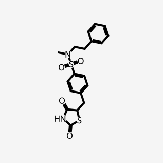 CN(CCc1ccccc1)S(=O)(=O)c1ccc(CC2SC(=O)NC2=O)cc1